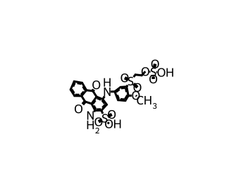 COc1ccc(Nc2cc(S(=O)(=O)O)c(N)c3c2C(=O)c2ccccc2C3=O)cc1S(=O)(=O)CCOS(=O)(=O)O